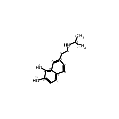 CC(C)NCCc1ccc2ccc(O)c(O)c2c1